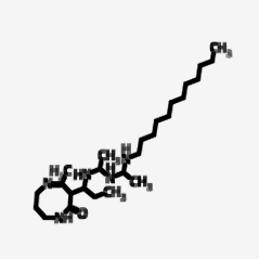 CCCCCCCCCCCCNC(C)NC(C)NC(CC)C1C(=O)NCCCN=C1C